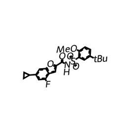 COc1ccc(C(C)(C)C)cc1S(=O)(=O)NC(=O)c1cc2c(F)cc(C3CC3)cc2o1